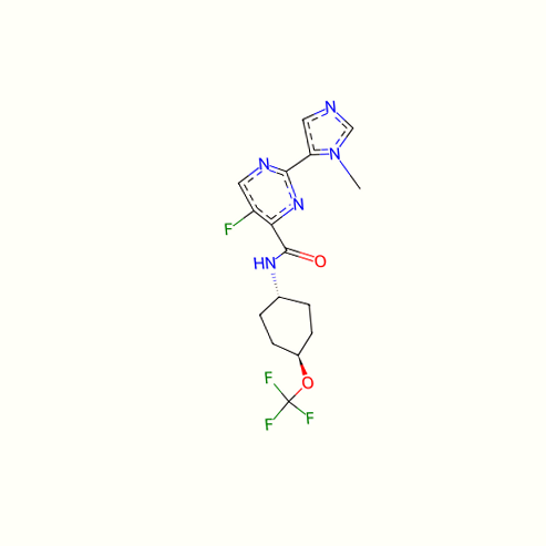 Cn1cncc1-c1ncc(F)c(C(=O)N[C@H]2CC[C@H](OC(F)(F)F)CC2)n1